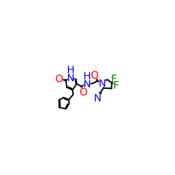 N#CC1CC(F)(F)CN1C(=O)CNC(=O)c1c[nH]c(=O)cc1Cc1ccccc1